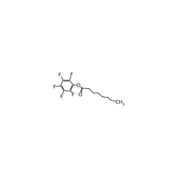 CCCCCCCC(=O)Oc1c(F)c(F)c(F)c(F)c1F